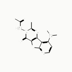 CC(=O)Nn1c(C)nc2c(sc3nccc(N(C)C)c32)c1=O